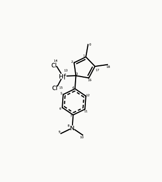 CC1=C[C](c2ccc(N(C)C)cc2)([Hf]([Cl])[Cl])C=C1C